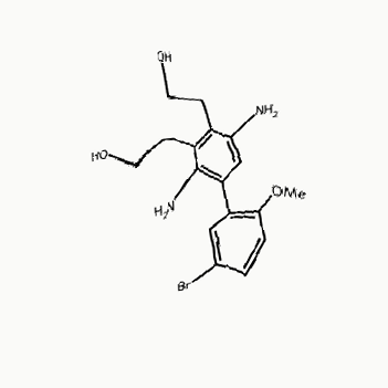 COc1ccc(Br)cc1-c1cc(N)c(CCO)c(CCO)c1N